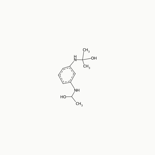 CC(O)Nc1cccc(NC(C)(C)O)c1